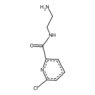 NCCNC(=O)c1cccc(Cl)n1